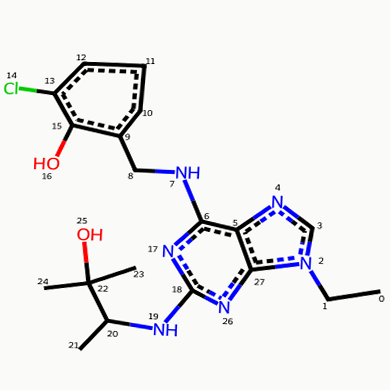 CCn1cnc2c(NCc3cccc(Cl)c3O)nc(NC(C)C(C)(C)O)nc21